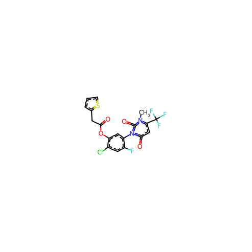 Cn1c(C(F)(F)F)cc(=O)n(-c2cc(OC(=O)Cc3cccs3)c(Cl)cc2F)c1=O